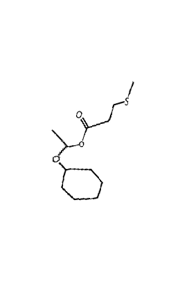 CSCCC(=O)OC(C)OC1CCCCC1